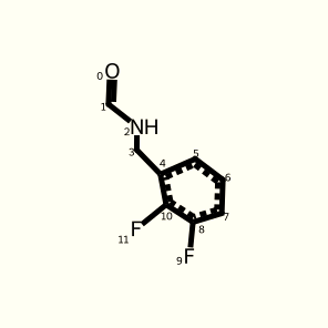 O=CNCc1cccc(F)c1F